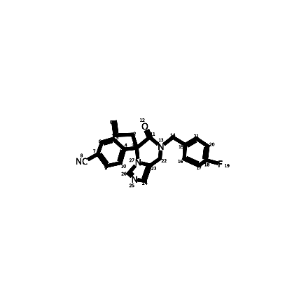 C=CCC1(c2ccc(C#N)cc2)C(=O)N(Cc2ccc(F)cc2)Cc2cncn21